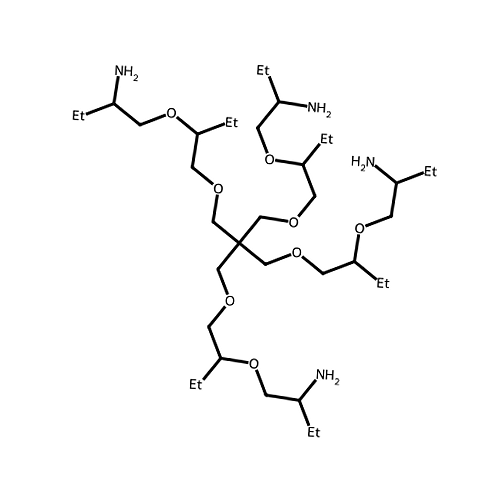 CCC(N)COC(CC)COCC(COCC(CC)OCC(N)CC)(COCC(CC)OCC(N)CC)COCC(CC)OCC(N)CC